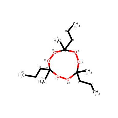 CCCC1(C)OOC(C)(CCC)OOC(C)(CCC)OO1